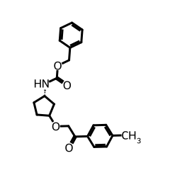 Cc1ccc(C(=O)COC2CC[C@H](NC(=O)OCc3ccccc3)C2)cc1